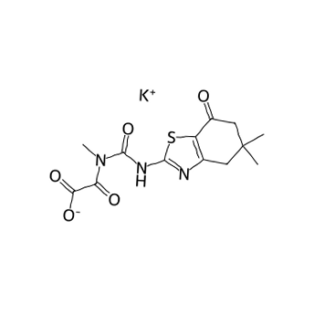 CN(C(=O)Nc1nc2c(s1)C(=O)CC(C)(C)C2)C(=O)C(=O)[O-].[K+]